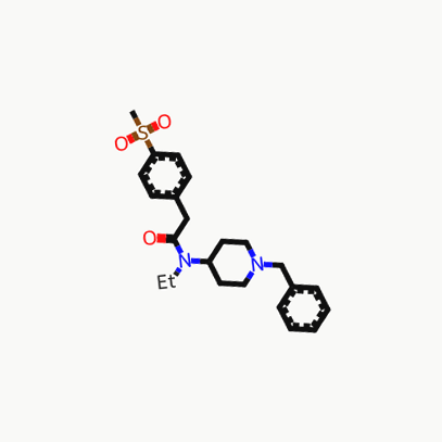 CCN(C(=O)Cc1ccc(S(C)(=O)=O)cc1)C1CCN(Cc2ccccc2)CC1